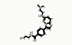 CC(C)CCNC(=O)c1ccc(-c2cnc3ccc(NCCN(C)C)nn23)cc1